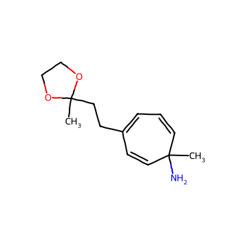 CC1(N)C=CC=C(CCC2(C)OCCO2)C=C1